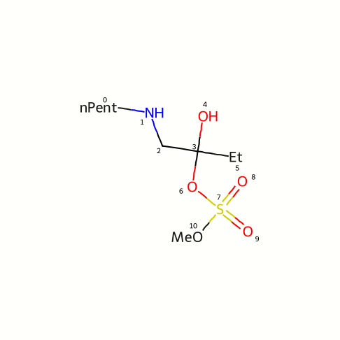 CCCCCNCC(O)(CC)OS(=O)(=O)OC